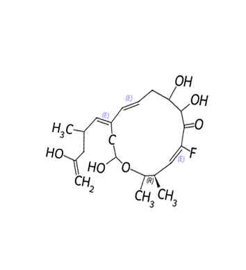 C=C(O)CC(C)/C=C1/C=C/CC(O)C(O)C(=O)/C(F)=C\[C@@H](C)C(C)OC(O)C1